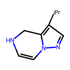 CC(C)c1cnn2c1CNC=C2